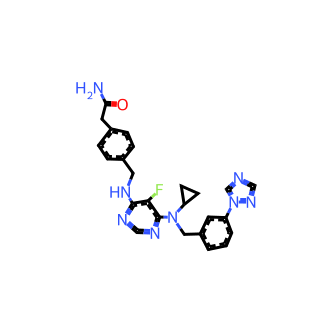 NC(=O)Cc1ccc(CNc2ncnc(N(Cc3cccc(-n4cncn4)c3)C3CC3)c2F)cc1